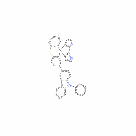 c1ccc(-n2c3ccccc3c3cc(-c4ccc5c(c4)C4(c6ccccc6S5)c5cccnc5-c5ncccc54)ccc32)cc1